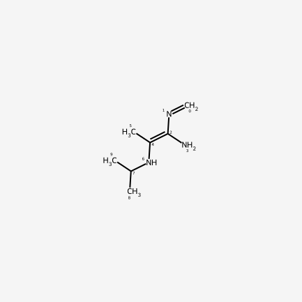 C=N/C(N)=C(\C)NC(C)C